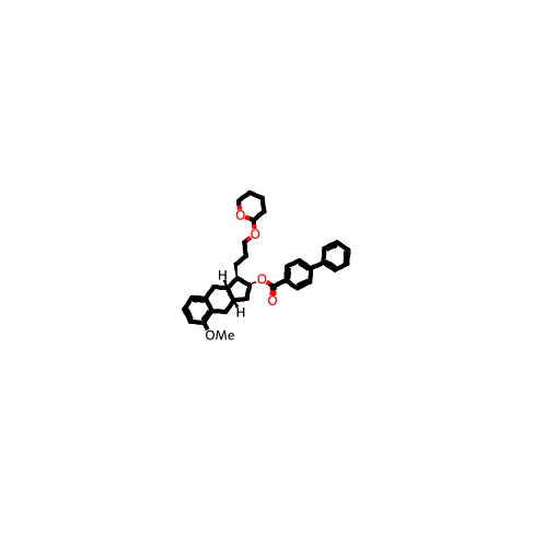 COc1cccc2c1C[C@H]1C[C@@H](OC(=O)c3ccc(-c4ccccc4)cc3)[C@H](CCCOC3CCCCO3)[C@H]1C2